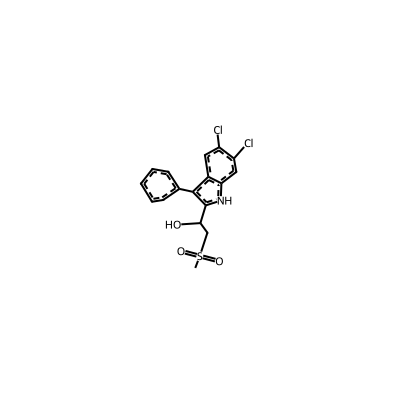 CS(=O)(=O)CC(O)c1[nH]c2cc(Cl)c(Cl)cc2c1-c1ccccc1